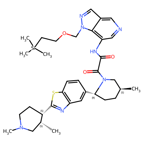 C[C@H]1CC[C@H](c2ccc3sc([C@H]4CCN(C)C[C@H]4C)nc3c2)N(C(=O)C(=O)Nc2cncc3cnn(COCC[Si](C)(C)C)c23)C1